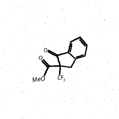 COC(=O)C1(C(F)(F)F)Cc2ccccc2C1=O